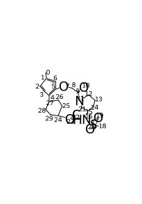 Cc1ccc2c(c1)OCC(=O)N1CCCC(NS(C)(=O)=O)C1COC1CCC2CC1